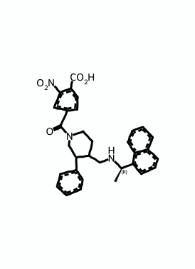 C[C@@H](NCC1CCN(C(=O)c2ccc(C(=O)O)c([N+](=O)[O-])c2)CC1c1ccccc1)c1cccc2ccccc12